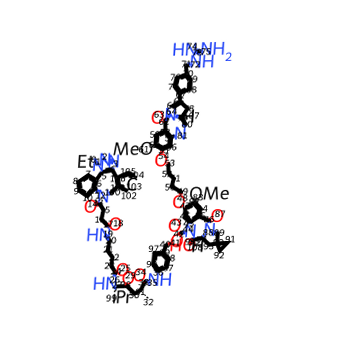 CCn1nnc2c1-c1ccccc1N(C(=O)CCC(=O)NCCCCC(=O)N[C@H](C(=O)C[C@@H](C)C(=O)Nc1ccc(COC(=O)N3c4cc(OCCCCCOc5cc6c(cc5OC)C(=O)N5C=C(c7ccc(CNC(=N)N)cc7)C[C@H]5C=N6)c(OC)cc4C(=O)N4CC5(CC5)C[C@H]4C3O)cc1)C(C)C)Cc1ccccc1-2